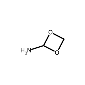 NC1OCO1